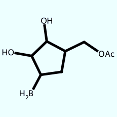 BC1CC(COC(C)=O)C(O)C1O